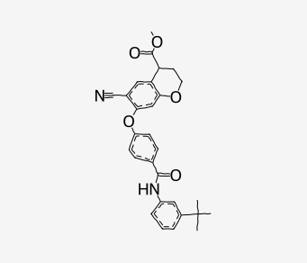 COC(=O)C1CCOc2cc(Oc3ccc(C(=O)Nc4cccc(C(C)(C)C)c4)cc3)c(C#N)cc21